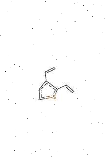 C=Cc1c[c]sc1C=C